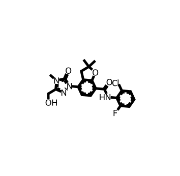 Cn1c(CO)nn(-c2ccc(C(=O)Nc3c(F)cccc3Cl)c3c2CC(C)(C)O3)c1=O